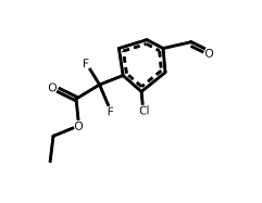 CCOC(=O)C(F)(F)c1ccc(C=O)cc1Cl